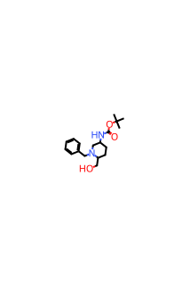 CC(C)(C)OC(=O)NC1CCC(CO)N(Cc2ccccc2)C1